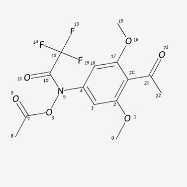 COc1cc(N(OC(C)=O)C(=O)C(F)(F)F)cc(OC)c1C(C)=O